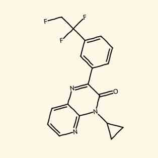 O=c1c(-c2cccc(C(F)(F)CF)c2)nc2cccnc2n1C1CC1